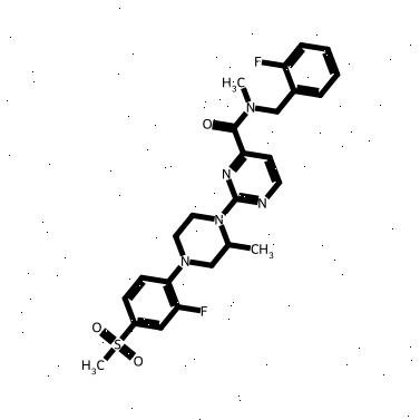 CC1CN(c2ccc(S(C)(=O)=O)cc2F)CCN1c1nccc(C(=O)N(C)Cc2ccccc2F)n1